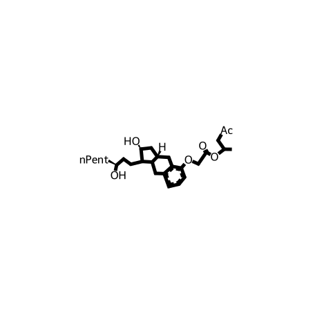 CCCCC[C@H](O)CCC1C2Cc3cccc(OCC(=O)OC(C)CC(C)=O)c3C[C@H]2C[C@H]1O